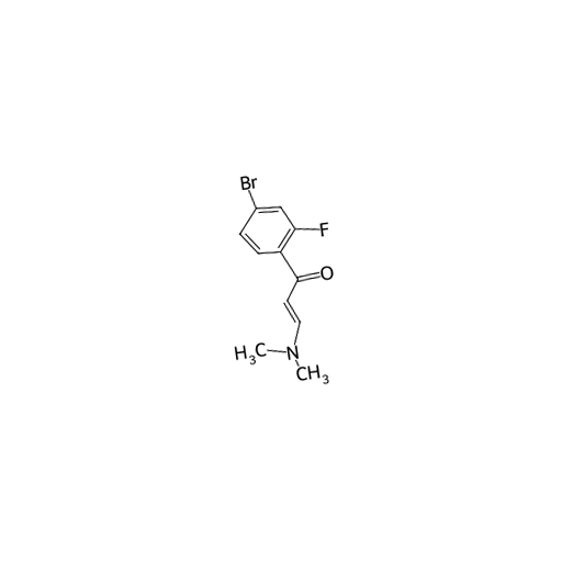 CN(C)/C=C/C(=O)c1ccc(Br)cc1F